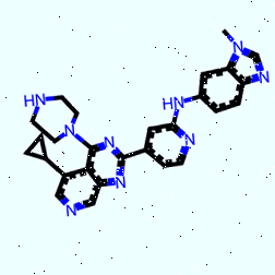 Cn1cnc2ccc(Nc3cc(-c4nc(N5CCNCC5)c5c(C6CC6)cncc5n4)ccn3)cc21